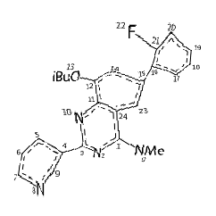 CNc1nc(-c2cccnc2)nc2c(OCC(C)C)cc(-c3ccccc3F)cc12